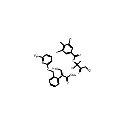 CCC(C)(NC(=O)c1cc(Cl)c(C)c(Cl)c1)C(=O)CCl.CO/C=C(/C(=O)OC)c1ccccc1COc1cccc(C(F)(F)F)n1